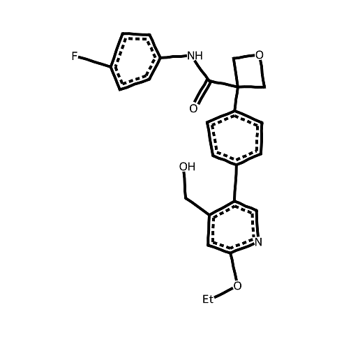 CCOc1cc(CO)c(-c2ccc(C3(C(=O)Nc4ccc(F)cc4)COC3)cc2)cn1